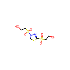 O=S(=O)(CCO)C1=NN(S(=O)(=O)CCO)CS1